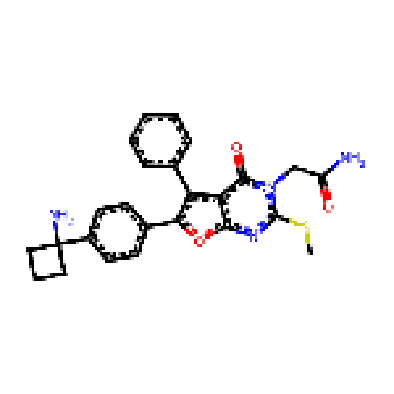 CSc1nc2oc(-c3ccc(C4(N)CCC4)cc3)c(-c3ccccc3)c2c(=O)n1CC(N)=O